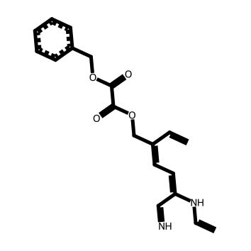 C=CN/C(C=N)=C/C=C(\C=C)COC(=O)C(=O)OCc1ccccc1